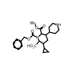 CC(C)(C)OC(=O)C1C(C2CCNCC2)CC(C2CC2)C(C(=O)O)N1C(=O)OCc1ccccc1